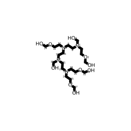 OCOCCN(CO)CCN(CCOCO)CCN(CO)CCN(CCOCO)CCOCO